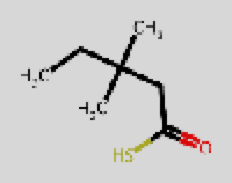 CCC(C)(C)CC(=O)S